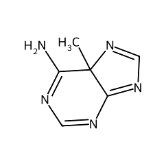 CC12N=CN=C1N=CN=C2N